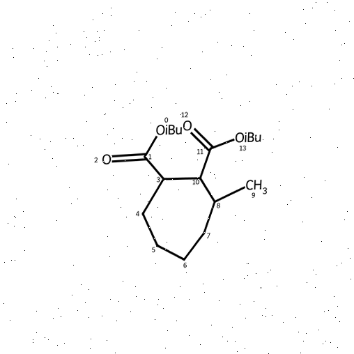 CC(C)COC(=O)C1CCCCC(C)C1C(=O)OCC(C)C